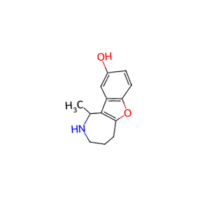 CC1NCCCc2oc3ccc(O)cc3c21